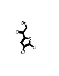 O=C(CBr)c1cc(Cl)c(Cl)s1